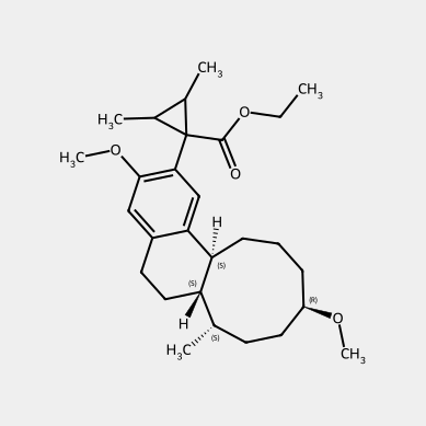 CCOC(=O)C1(c2cc3c(cc2OC)CC[C@@H]2[C@@H]3CCC[C@@H](OC)CC[C@@H]2C)C(C)C1C